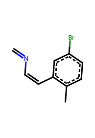 C=N/C=C\c1cc(Br)ccc1C